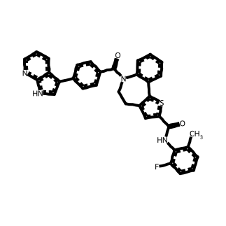 Cc1cccc(F)c1NC(=O)c1cc2c(s1)-c1ccccc1N(C(=O)c1ccc(-c3c[nH]c4ncccc34)cc1)CC2